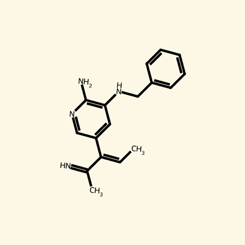 C/C=C(/C(C)=N)c1cnc(N)c(NCc2ccccc2)c1